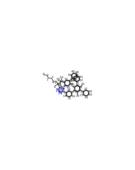 CCCCCCC(C)(C)c1nnc(-c2cccc(-c3c(C)c(-c4ccccc4)c(C)c(-c4ccccc4)c3C)c2)n1-c1ccc(-c2ccccc2)cc1C(C)(C)C